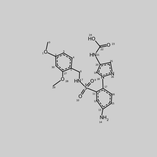 COc1ccc(CNS(=O)(=O)c2cc(N)ccc2-n2cc(NC(=O)O)cn2)c(OC)c1